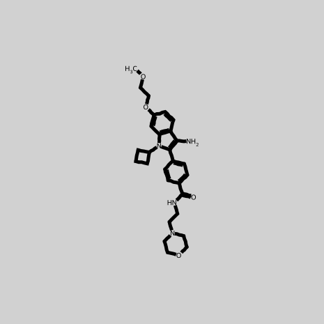 COCCOc1ccc2c(N)c(-c3ccc(C(=O)NCCN4CCOCC4)cc3)n(C3CCC3)c2c1